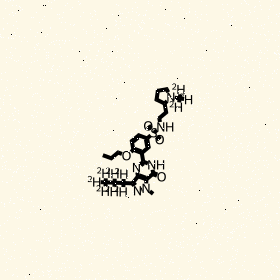 [2H]C([2H])([2H])N1CCCC1CCNS(=O)(=O)c1ccc(OCCC)c(-c2nc3c(C([2H])([2H])C([2H])([2H])C([2H])([2H])[2H])nn(C)c3c(=O)[nH]2)c1